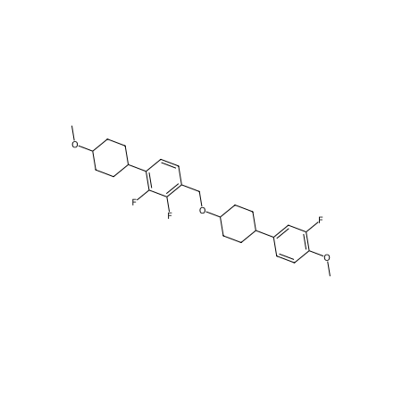 COc1ccc(C2CCC(OCc3ccc(C4CCC(OC)CC4)c(F)c3F)CC2)cc1F